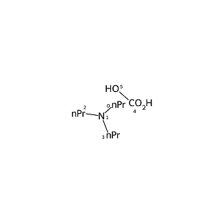 CCCN(CCC)CCC.O=C(O)O